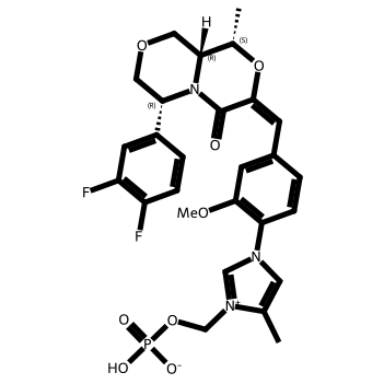 COc1cc(C=C2O[C@@H](C)[C@H]3COC[C@@H](c4ccc(F)c(F)c4)N3C2=O)ccc1-n1cc(C)[n+](COP(=O)([O-])O)c1